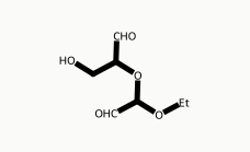 CCOC(C=O)OC(C=O)CO